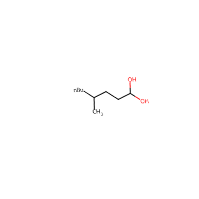 CCCCC(C)CCC(O)O